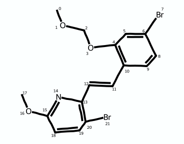 COCOc1cc(Br)ccc1C=Cc1nc(OC)ccc1Br